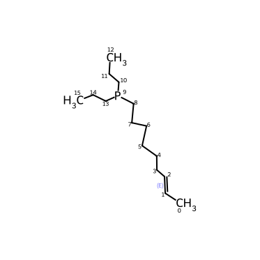 C/C=C/CCCCCCP(CCC)CCC